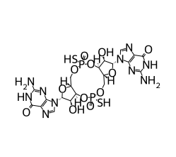 Nc1nc2c(ncn2[C@@H]2O[C@@H]3CO[P@@](=O)(S)O[C@H]4[C@@H](O)[C@H](n5cnc6c(=O)[nH]c(N)nc65)O[C@@H]4CO[P@@](=O)(S)O[C@H]3[C@H]2O)c(=O)[nH]1